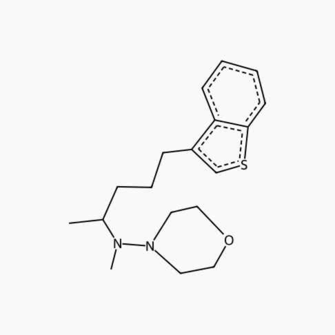 CC(CCCc1csc2ccccc12)N(C)N1CCOCC1